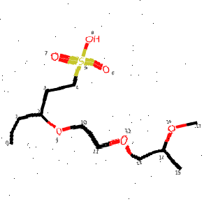 CCC(CCS(=O)(=O)O)OCCOCC(C)OC